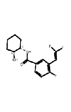 O=C(N[C@H]1CCCC[C@@H]1O)c1ccc(F)c(C=C(F)F)c1